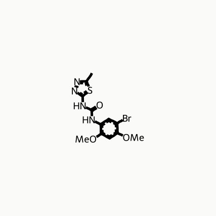 COc1cc(OC)c(NC(=O)Nc2nnc(C)s2)cc1Br